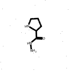 NNC(=O)C1CCCN1